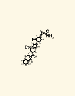 CCC1=CC(C(=O)N2CCc3ccccc3[C@H]2C)Cc2cc(-c3ccc([C@H]4C[C@@H]4C(N)=O)cc3F)cn21